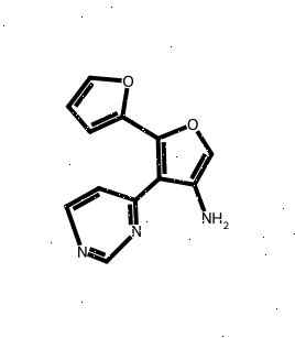 Nc1coc(-c2ccco2)c1-c1ccncn1